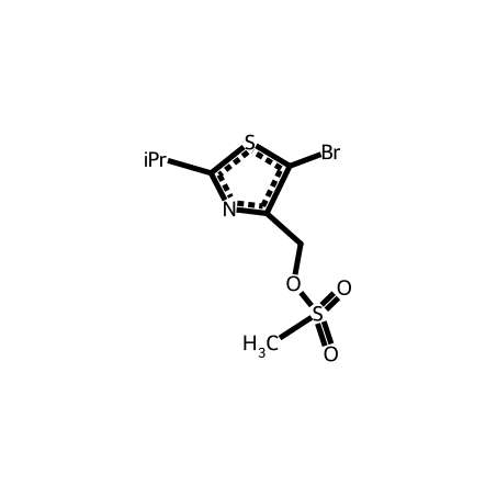 CC(C)c1nc(COS(C)(=O)=O)c(Br)s1